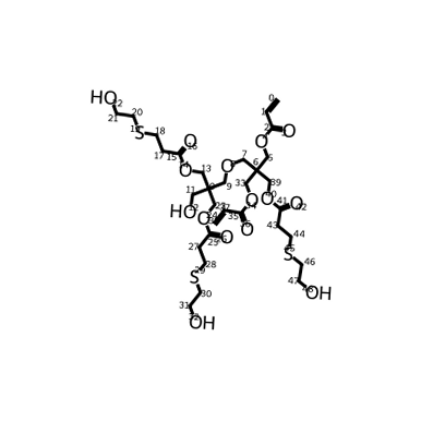 C=CC(=O)OCC(COCC(CO)(COC(=O)CCSCCO)COC(=O)CCSCCO)(COC(=O)C=C)COC(=O)CCSCCO